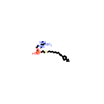 C[C@H](Cn1cnc2c(N)ncnc21)OCP(=O)(O)OCCCSCCCCCCCCC#Cc1ccc(C(C)(C)C)cc1